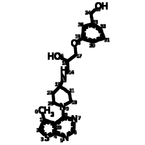 Cc1csc2ncnc(N3CCC(NCC(O)COc4cccc(CO)c4)CC3)c12